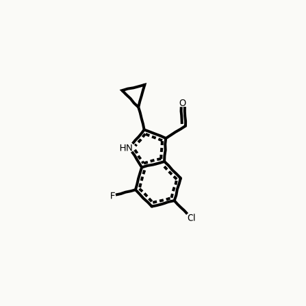 O=Cc1c(C2CC2)[nH]c2c(F)cc(Cl)cc12